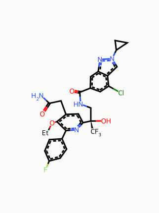 CCOc1c(CC(N)=O)cc([C@@](O)(CNC(=O)c2cc(Cl)c3cn(C4CC4)nc3c2)C(F)(F)F)nc1-c1ccc(F)cc1